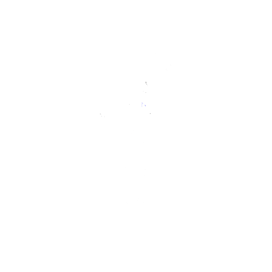 CC(=O)OC(C(=O)N1[C@@H](Cc2ccccc2)COC1(C)C)c1ccc(-c2ccc(-c3ccccc3)cc2)o1